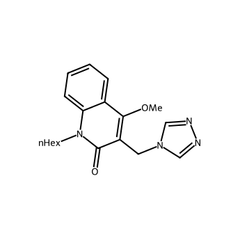 CCCCCCn1c(=O)c(Cn2cnnc2)c(OC)c2ccccc21